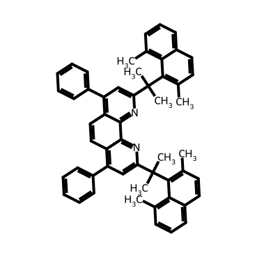 Cc1ccc2cccc(C)c2c1C(C)(C)c1cc(-c2ccccc2)c2ccc3c(-c4ccccc4)cc(C(C)(C)c4c(C)ccc5cccc(C)c45)nc3c2n1